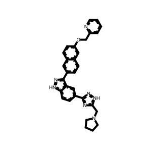 c1ccc(COc2ccc3cc(-c4n[nH]c5ccc(-c6n[nH]c(CN7CCCC7)n6)cc45)ccc3c2)nc1